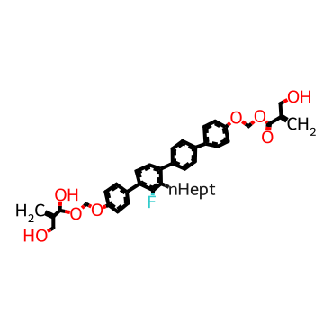 C=C(CO)C(=O)OCOc1ccc(-c2ccc(-c3ccc(-c4ccc(OCOC(O)C(=C)CO)cc4)c(F)c3CCCCCCC)cc2)cc1